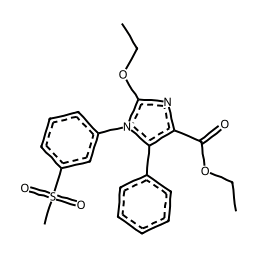 CCOC(=O)c1nc(OCC)n(-c2cccc(S(C)(=O)=O)c2)c1-c1ccccc1